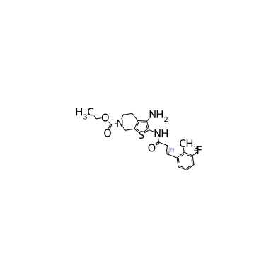 CCOC(=O)N1CCc2c(sc(NC(=O)/C=C/c3cccc(F)c3C)c2N)C1